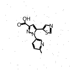 Cc1ccc(-n2nc(C(=O)O)cc2-c2cncs2)cn1